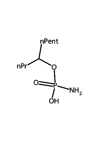 CCCCCC(CCC)OP(N)(=O)O